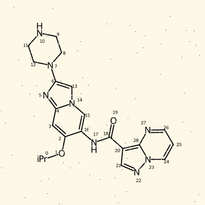 CC(C)Oc1cc2nc(N3CCNCC3)cn2cc1NC(=O)c1cnn2cccnc12